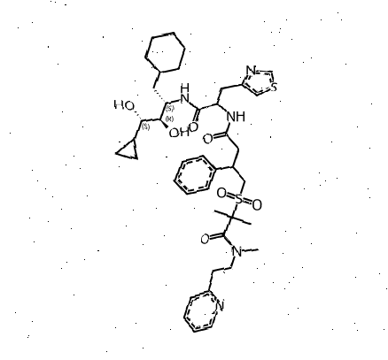 CN(CCc1ccccn1)C(=O)C(C)(C)S(=O)(=O)CC(CC(=O)NC(Cc1cscn1)C(=O)N[C@@H](CC1CCCCC1)[C@@H](O)[C@@H](O)C1CC1)c1ccccc1